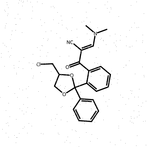 CN(C)C=C(C#N)C(=O)c1ccccc1C1(c2ccccc2)OCC(CCl)O1